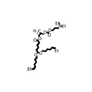 [CH2]C(COC(=O)CCCCC(OCCCC/C=C\CC)OCCCC/C=C\CC)COC(=O)OCCCN(CC)CC